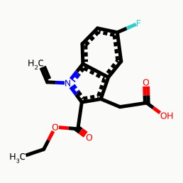 C=Cn1c(C(=O)OCC)c(CC(=O)O)c2cc(F)ccc21